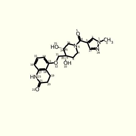 Cn1cc(C(=O)N2CC[C@@](O)(COc3cccc4c3CCC(=O)N4)[C@H](O)C2)cn1